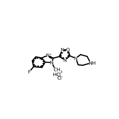 CN1C(c2noc(N3CCNCC3)n2)=[N+]c2ccc(F)cc21.Cl.[Cl-]